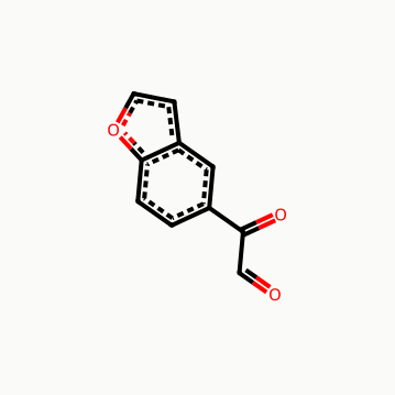 O=CC(=O)c1ccc2occc2c1